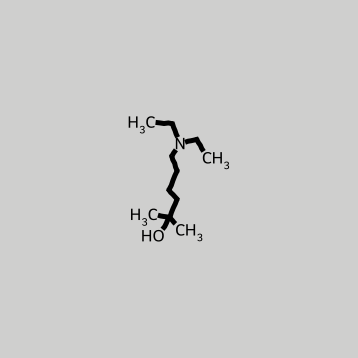 CCN(CC)CCCCC(C)(C)O